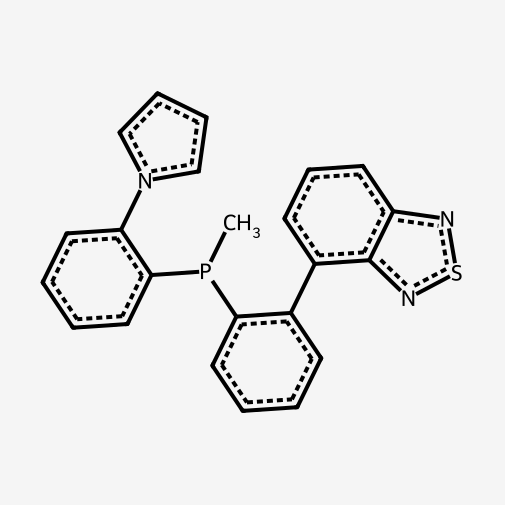 CP(c1ccccc1-c1cccc2nsnc12)c1ccccc1-n1cccc1